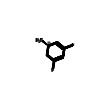 C[C@@H]1C=C(F)C=C(F)C1